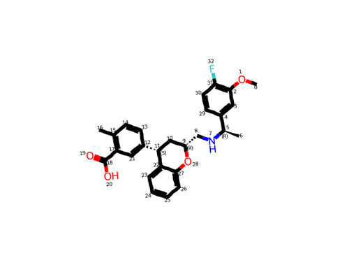 COc1cc([C@@H](C)NC[C@H]2C[C@@H](c3ccc(C)c(C(=O)O)c3)c3ccccc3O2)ccc1F